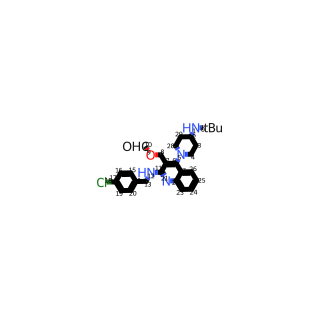 CC(C)(C)NC1CCN(c2c(COC=O)c(NCc3ccc(Cl)cc3)nc3ccccc23)CC1